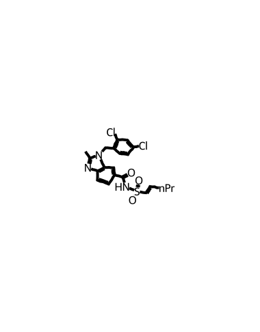 CCCC=CS(=O)(=O)NC(=O)c1ccc2nc(C)n(Cc3ccc(Cl)cc3Cl)c2c1